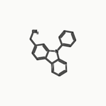 CCc1ccc2c3ccccc3n(-c3ccccc3)c2c1